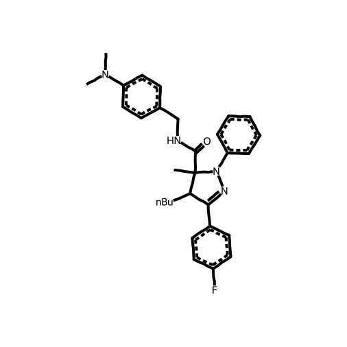 CCCCC1C(c2ccc(F)cc2)=NN(c2ccccc2)C1(C)C(=O)NCc1ccc(N(C)C)cc1